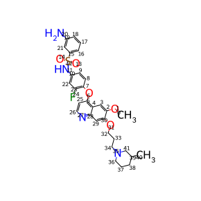 COc1cc2c(Oc3ccc(NS(=O)(=O)c4cccc(N)c4)cc3F)ccnc2cc1OCCCN1CCCC(C)C1